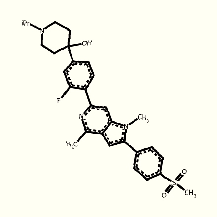 Cc1nc(-c2ccc(C3(O)CCN(C(C)C)CC3)cc2F)cc2c1cc(-c1ccc(S(C)(=O)=O)cc1)n2C